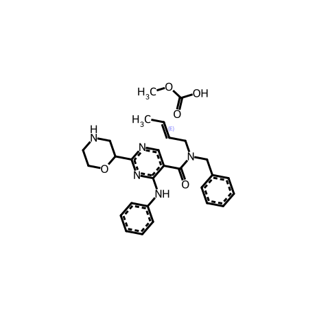 C/C=C/CN(Cc1ccccc1)C(=O)c1cnc(C2CNCCO2)nc1Nc1ccccc1.COC(=O)O